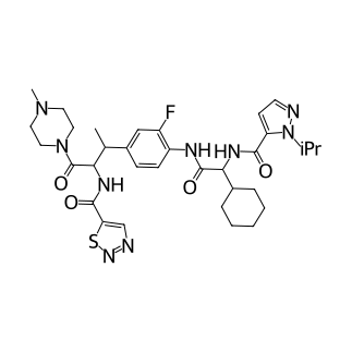 CC(c1ccc(NC(=O)C(NC(=O)c2ccnn2C(C)C)C2CCCCC2)c(F)c1)C(NC(=O)c1cnns1)C(=O)N1CCN(C)CC1